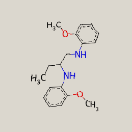 CCC(CNc1ccccc1OC)Nc1ccccc1OC